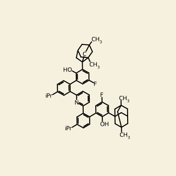 CC(C)c1ccc(-c2cc(F)cc(C34CC5CC(C)(CC(C)(C5)C3)C4)c2O)c(-c2cccc(-c3cc(C(C)C)ccc3-c3cc(F)cc(C45CC6CC(C)(CC4(C)C6)C5)c3O)n2)c1